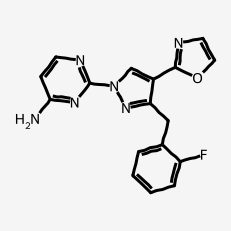 Nc1ccnc(-n2cc(-c3ncco3)c(Cc3ccccc3F)n2)n1